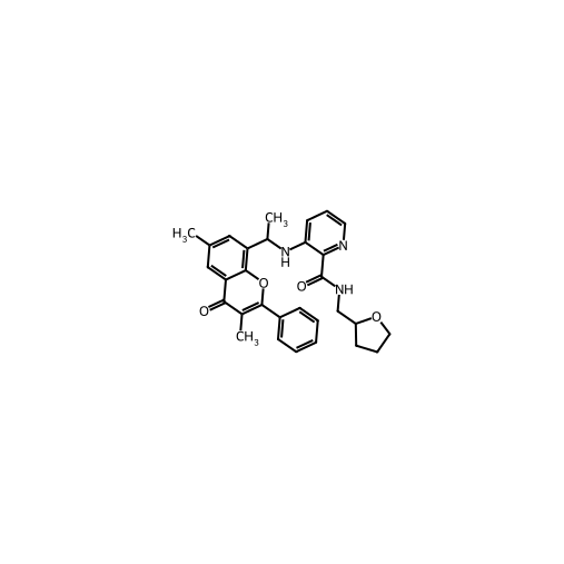 Cc1cc(C(C)Nc2cccnc2C(=O)NCC2CCCO2)c2oc(-c3ccccc3)c(C)c(=O)c2c1